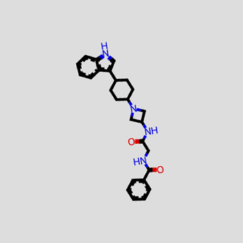 O=C(CNC(=O)c1ccccc1)NC1CN(C2CCC(c3c[nH]c4ccccc34)CC2)C1